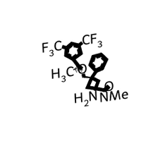 CNC(=O)[C@]1(N)C[C@](CO[C@H](C)c2cc(C(F)(F)F)cc(C(F)(F)F)c2)(c2ccccc2)C1